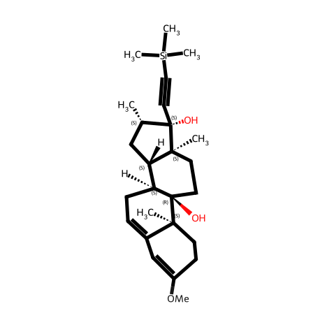 COC1=CC2=CC[C@H]3[C@@H]4C[C@H](C)[C@@](O)(C#C[Si](C)(C)C)[C@@]4(C)CC[C@]3(O)[C@@]2(C)CC1